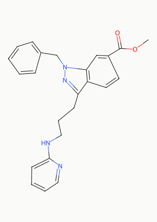 COC(=O)c1ccc2c(CCCNc3ccccn3)nn(Cc3ccccc3)c2c1